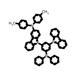 Cc1ccc(N(c2ccc(C)cc2)c2ccc3c(c2)c2ccccc2n3-c2cc(N(c3ccccc3)c3ccccc3)cc(-n3c4ccccc4c4ccccc43)c2)cc1